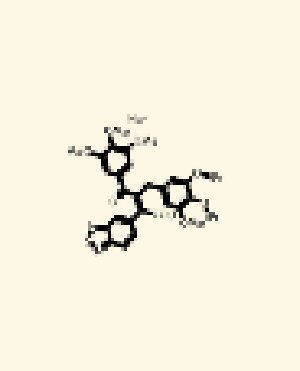 COc1cc(C(=O)C(Cc2cc(OC)c(OC(C)C)c(OC(C)C)c2)=C(C(=O)[O-])c2ccc3nsnc3c2)cc(OC)c1OC.[Na+]